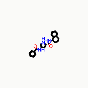 O=C(N[C@@H]1CN[C@H](C(=O)N[C@@H]2CCCc3ccccc32)C1)c1ccccc1